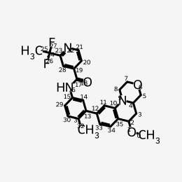 COC1CC2COCCN2c2cc(-c3cc(NC(=O)c4ccnc(C(C)(F)F)c4)ccc3C)ccc21